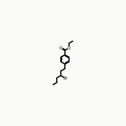 CCCC(Br)CCc1ccc(C(=O)OCC)cc1